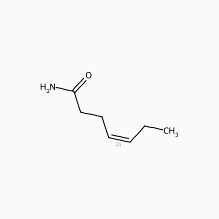 CC/C=C\CCC(N)=O